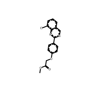 COC(=O)COc1ccc(-c2ncc3cccc(Cl)c3n2)cc1